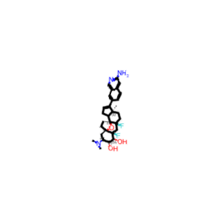 CN(C)[C@H]1C[C@@]23CC[C@]4(O2)C2CC=C(c5ccc6cc(N)ncc6c5)[C@@]2(C)CCC4(F)CC3(F)[C@@H](O)[C@@H]1O